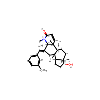 COc1cccc(C=C2C[C@@H]3[C@H](CC[C@]4(C)[C@@H](O)CC[C@@H]34)[C@@]3(C)C=CC(=O)N(C)[C@H]23)c1